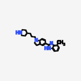 Cc1cccc2[nH]c(-c3ccc4c(c3)CCN4CCCC3CCNCC3)nc12